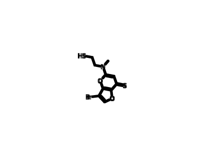 CN(CCS)c1cc(=S)c2occ(Br)c2o1